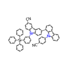 N#Cc1ccc(-n2c3ccccc3c3cccc(-c4ccc5c(c4)c4cc(C#N)ccc4n5-c4cccc([Si](c5ccccc5)(c5ccccc5)c5ccccc5)c4)c32)cc1